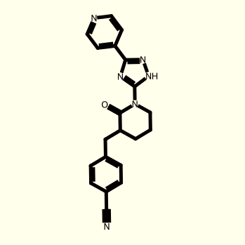 N#Cc1ccc(CC2CCCN(c3nc(-c4ccncc4)n[nH]3)C2=O)cc1